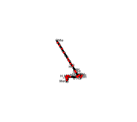 CCCCc1nc2c(N)nc3cc(C(=O)OC)ccc3c2n1CCCCCNC(=O)OCc1ccc(O[C@H]2O[C@H](CO)[C@@H](O)[C@H](O)[C@@H]2O)c(NC(=O)CCNC(=O)[C@@H](N)CCCCNC(=O)CCOCCOCCOCCOCCOCCOCCOCCOCCOCCOCCOCCOC)c1